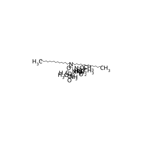 CCCCCCCCCCCCCCCCN(CCCCCCCCCCCCCCCC)C(=O)CCN(CC(NC=O)OC(C)(C)C)C(N)=NCC(NC=O)OC(C)(C)C